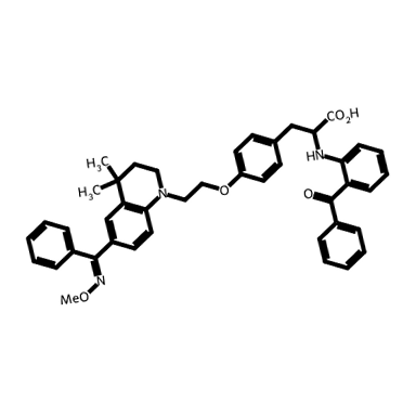 CO/N=C(\c1ccccc1)c1ccc2c(c1)C(C)(C)CCN2CCOc1ccc(CC(Nc2ccccc2C(=O)c2ccccc2)C(=O)O)cc1